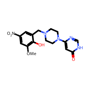 COc1cc([N+](=O)[O-])cc(CN2CCN(c3cc(=O)[nH]cn3)CC2)c1O